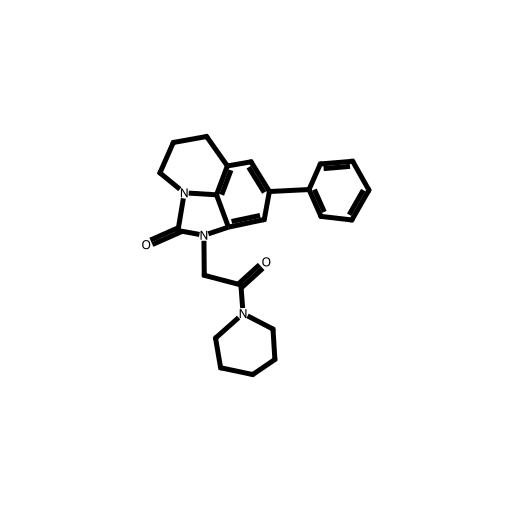 O=C(Cn1c(=O)n2c3c(cc(-c4ccccc4)cc31)CCC2)N1CCCCC1